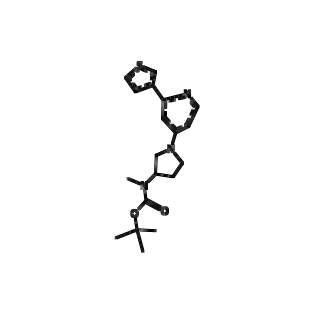 CN(C(=O)OC(C)(C)C)C1CCN(c2ccnc(-c3ccsc3)c2)C1